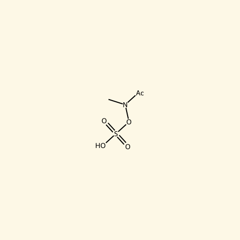 CC(=O)N(C)OS(=O)(=O)O